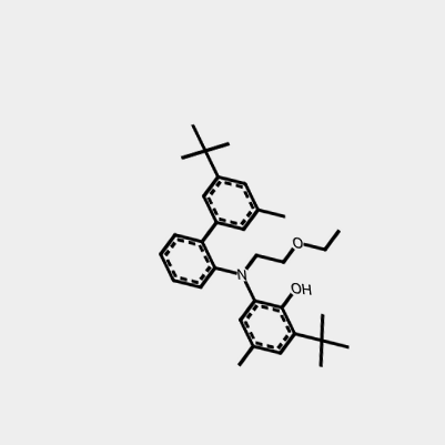 CCOCCN(c1ccccc1-c1cc(C)cc(C(C)(C)C)c1)c1cc(C)cc(C(C)(C)C)c1O